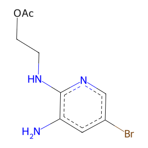 CC(=O)OCCNc1ncc(Br)cc1N